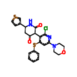 O=C1CC(c2ccsc2)NC(=O)C1c1c(Sc2ccccc2)cc(N2CCOCC2)nc1Cl